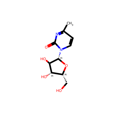 Cc1ccn([C@@H]2O[C@H](CO)[C@H](O)C2O)c(=O)n1